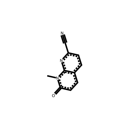 Cn1c(=O)ccc2ccc(C#N)nc21